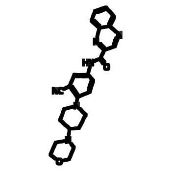 N#Cc1cc(NC(=O)c2cnc3ccccc3n2)ccc1N1CCC(N2CCOCC2)CC1